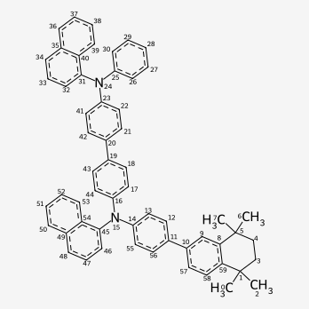 CC1(C)CCC(C)(C)c2cc(-c3ccc(N(c4ccc(-c5ccc(N(c6ccccc6)c6cccc7ccccc67)cc5)cc4)c4cccc5ccccc45)cc3)ccc21